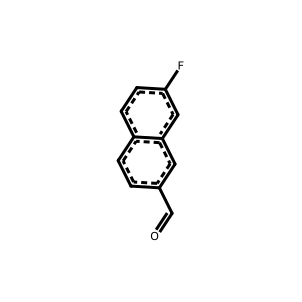 O=Cc1ccc2ccc(F)cc2c1